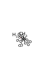 CC1(C)c2ccccc2-c2c(-c3nc(-c4cc(-c5ccccc5)cc(-c5cccc6ccccc56)c4)nc(-c4ccc5c(c4)C(c4ccccc4)(c4ccccc4)c4ccccc4-5)n3)cccc21